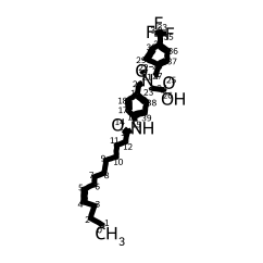 CCCC/C=C\CCCCCCCC(=O)Nc1ccc(C[N+]([O-])(CC(=O)O)Cc2ccc(C(F)(F)F)cc2)cc1